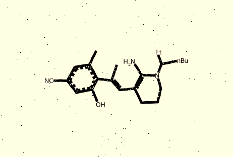 CCCCC(CC)N1CCCC(/C=C(\C)c2c(C)cc(C#N)cc2O)=C1N